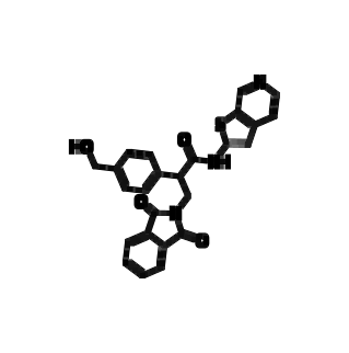 O=C(Nc1cc2ccncc2s1)C(CN1C(=O)c2ccccc2C1=O)c1ccc(CO)cc1